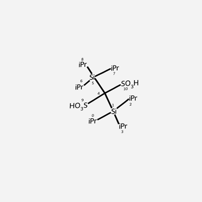 CC(C)[Si](C(C)C)(C(C)C)C([Si](C(C)C)(C(C)C)C(C)C)(S(=O)(=O)O)S(=O)(=O)O